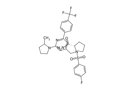 CC1CCCN1c1cc(C[N+]2(S(=O)(=O)c3ccc(F)cc3)CCC[C@H]2C(N)=O)cc(-c2ccc(C(F)(F)F)cc2)n1